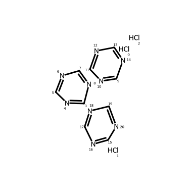 Cl.Cl.Cl.c1ncncn1.c1ncncn1.c1ncncn1